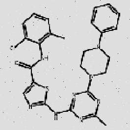 Cc1nc(Nc2ncc(C(=O)Nc3c(C)cccc3Cl)s2)nc(N2CCN(c3ccccc3)CC2)n1